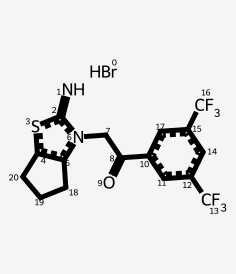 Br.N=c1sc2c(n1CC(=O)c1cc(C(F)(F)F)cc(C(F)(F)F)c1)CCC2